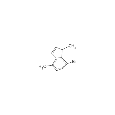 Cc1ccc(Br)c2c1C=CC2C